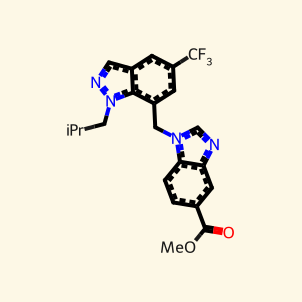 COC(=O)c1ccc2c(c1)ncn2Cc1cc(C(F)(F)F)cc2cnn(CC(C)C)c12